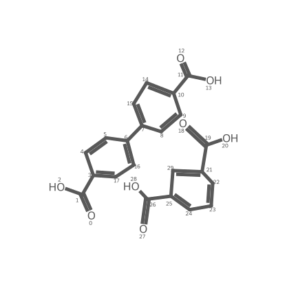 O=C(O)c1ccc(-c2ccc(C(=O)O)cc2)cc1.O=C(O)c1cccc(C(=O)O)c1